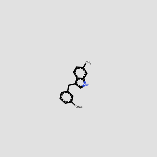 COc1cccc(Cc2c[nH]c3cc(C)ccc23)c1